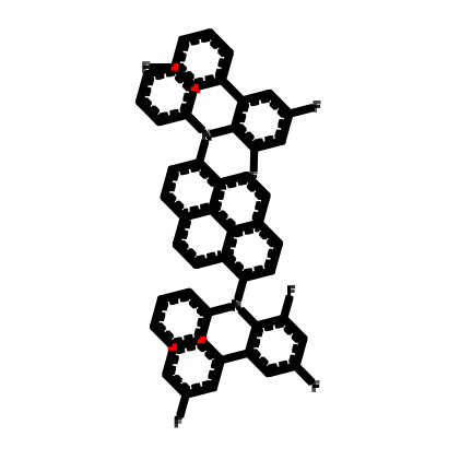 Fc1cccc(-c2cc(F)cc(F)c2N(c2ccccc2)c2ccc3ccc4c(N(c5ccccc5)c5c(F)cc(F)cc5-c5cccc(F)c5)ccc5ccc2c3c54)c1